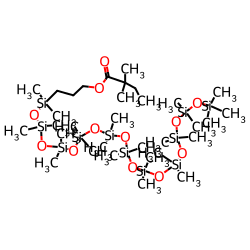 CCC(C)(C)C(=O)OCCC[Si](C)(C)O[Si](C)(C)O[Si](C)(C)O[Si](C)(C)O[Si](C)(C)O[Si](C)(C)O[Si](C)(C)O[Si](C)(C)O[Si](C)(C)O[Si](C)(C)O[Si](C)(C)C